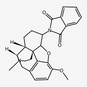 COc1ccc2c3c1OC1C(N4C(=O)c5ccccc5C4=O)CC[C@H]4[C@@H](C2)N(C)CC[C@]314